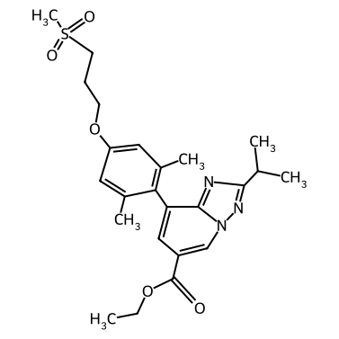 CCOC(=O)c1cc(-c2c(C)cc(OCCCS(C)(=O)=O)cc2C)c2nc(C(C)C)nn2c1